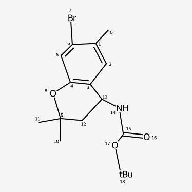 Cc1cc2c(cc1Br)OC(C)(C)CC2NC(=O)OC(C)(C)C